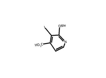 COc1nccc(C(=O)O)c1I